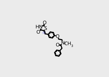 CN(CCOc1ccc(/C=C2\SC(=O)NC2=O)cc1)C(=O)Cc1ccccc1